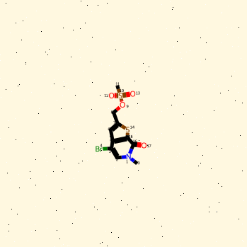 Cn1cc(Br)c2cc(COS(C)(=O)=O)sc2c1=O